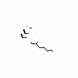 C=CC(=O)O.C=CC(=O)O.CCCOCCC.OCCCCC(O)CO